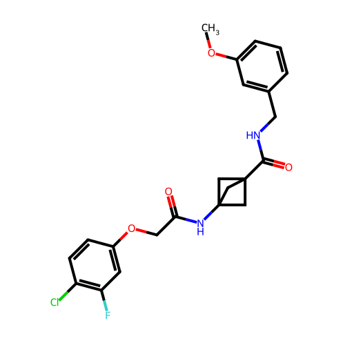 COc1cccc(CNC(=O)C23CC(NC(=O)COc4ccc(Cl)c(F)c4)(C2)C3)c1